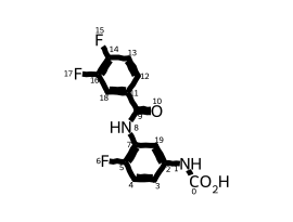 O=C(O)Nc1ccc(F)c(NC(=O)c2ccc(F)c(F)c2)c1